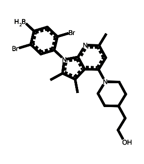 Bc1cc(Br)c(-n2c(C)c(C)c3c(N4CCC(CCO)CC4)cc(C)nc32)cc1Br